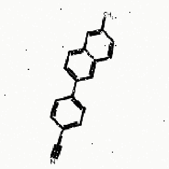 Cc1ccc2cc(-c3ccc(C#N)cc3)ccc2c1